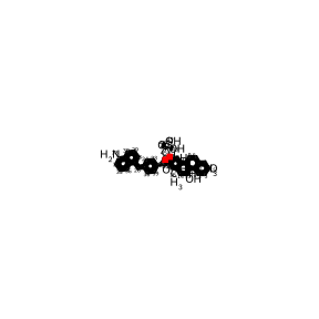 C[C@]12C=CC(=O)C=C1CC[C@@H]1[C@@H]2[C@@H](O)C[C@@]2(C)[C@H]1C[C@H]1O[C@@H](c3ccc(Cc4cccc5c(N)cccc45)cc3)O[C@]12C(=O)COP(=O)(O)O